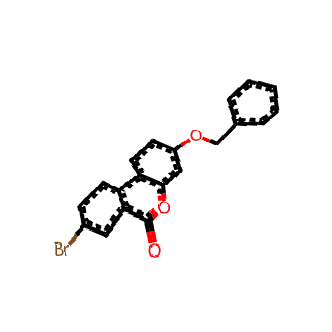 O=c1oc2cc(OCc3ccccc3)ccc2c2ccc(Br)cc12